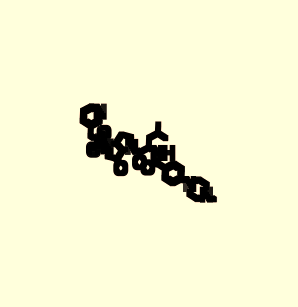 CC(C)CC(NC(=O)c1ccc(N2CCN(C)CC2)cc1)C(=O)N1CCC2C1C(=O)CN2S(=O)(=O)Cc1cccnc1